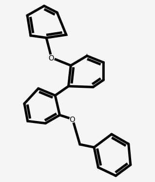 [c]1cccc(-c2ccccc2OCc2ccccc2)c1Oc1ccccc1